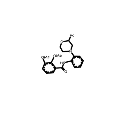 COc1cccc(C(=O)Nc2ccccc2N2CCOC(C(C)=O)C2)c1OC